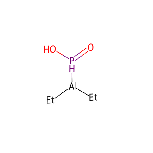 C[CH2][Al]([CH2]C)[PH](=O)O